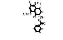 CC(=O)Nc1cc(F)c(C)c2c1C(=O)[C@@H](NOC(=O)c1ccccc1)CC2